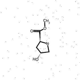 COC(=O)[C@@H]1C[C@@H](O)C[N]1